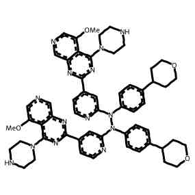 COc1cncc2nc(-c3ccnc(N(c4ccc(C5CCOCC5)cc4)N(c4ccc(C5CCOCC5)cc4)c4cc(-c5nc(N6CCNCC6)c6c(OC)cncc6n5)ccn4)c3)nc(N3CCNCC3)c12